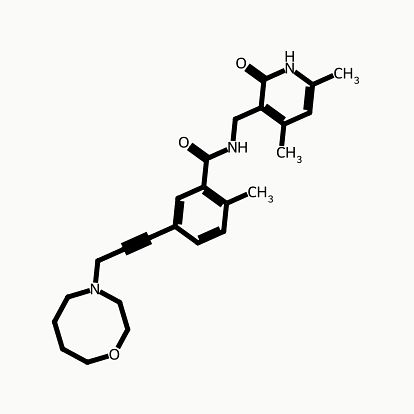 Cc1cc(C)c(CNC(=O)c2cc(C#CCN3CCCCOCC3)ccc2C)c(=O)[nH]1